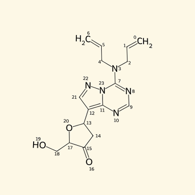 C=CCN(CC=C)c1ncnc2c(C3CC(=O)C(CO)O3)cnn12